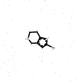 CC(=O)c1cc2c(s1)CCOC2